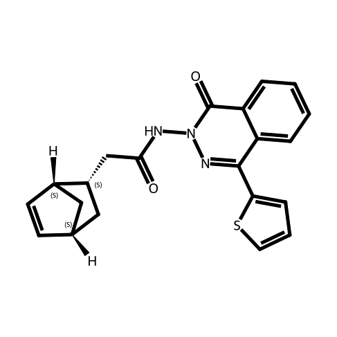 O=C(C[C@@H]1C[C@@H]2C=C[C@H]1C2)Nn1nc(-c2cccs2)c2ccccc2c1=O